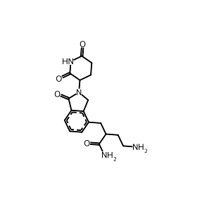 NCCC(Cc1cccc2c1CN(C1CCC(=O)NC1=O)C2=O)C(N)=O